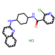 Cl.O=C(NC1CCC(Nc2ccc3ccccc3n2)CC1)c1cccnc1Cl